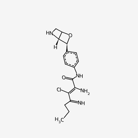 CCCC(=N)/C(Cl)=C(\N)C(=O)Nc1ccc([C@@H]2OC3CN[C@H]32)cc1